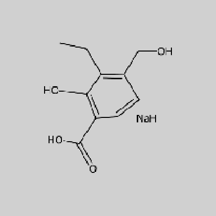 CCc1c(CO)ccc(C(=O)O)c1O.[NaH]